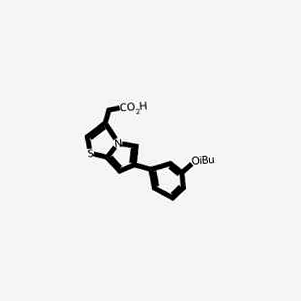 CC(C)COc1cccc(-c2cc3scc(CC(=O)O)n3c2)c1